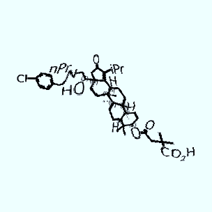 CCCN(Cc1ccc(Cl)cc1)C[C@@H](O)[C@@]12CC[C@]3(C)[C@H](CC[C@@H]4[C@@]5(C)CC[C@H](OC(=O)CC(C)(C)C(=O)O)C(C)(C)[C@@H]5CC[C@]43C)C1=C(C(C)C)C(=O)C2